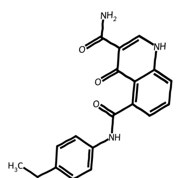 CCc1ccc(NC(=O)c2cccc3[nH]cc(C(N)=O)c(=O)c23)cc1